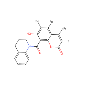 [2H]c1c(O)c(C(=O)N2CCCc3ccccc32)c2oc(=O)c([2H])c(CCC)c2c1[2H]